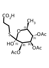 CC(=O)O[C@@H]1[C@@H](OC(C)=O)[C@@H](OC(C)=O)[C@@](O)(SCCC(=O)O)O[C@H]1C